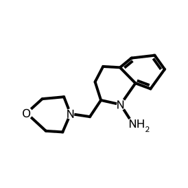 NN1c2ccccc2CCC1CN1CCOCC1